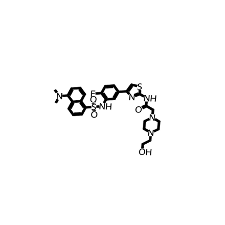 CN(C)c1cccc2c(S(=O)(=O)Nc3cc(-c4csc(NC(=O)CN5CCN(CCO)CC5)n4)ccc3F)cccc12